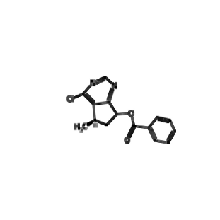 C[C@@H]1CC(OC(=O)c2ccccc2)c2ncnc(Cl)c21